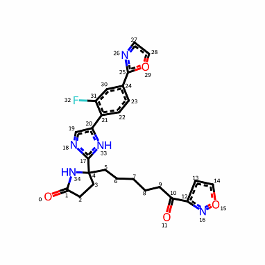 O=C1CCC(CCCCCC(=O)c2ccon2)(c2ncc(-c3ccc(-c4ncco4)cc3F)[nH]2)N1